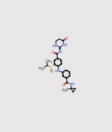 CC(C)[S+]([O-])c1cc(C(=O)/N=C2\NCCC(=O)N2)ccc1Nc1cccc(C(=O)NC2(C)CC2)c1